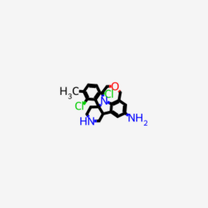 Cc1ccc(Cl)c(C23CCNCC2c2cc(N)cc4c2N3CCOC4)c1Cl